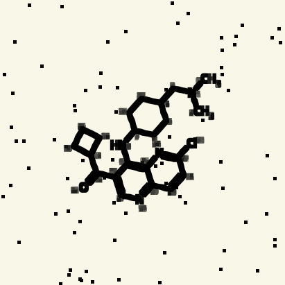 CN(C)CC1CCC(Nc2c(C(=O)C3CCC3)cnc3ccc(Cl)nc23)CC1